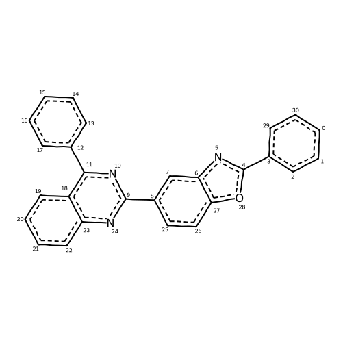 c1ccc(-c2nc3cc(-c4nc(-c5ccccc5)c5ccccc5n4)ccc3o2)cc1